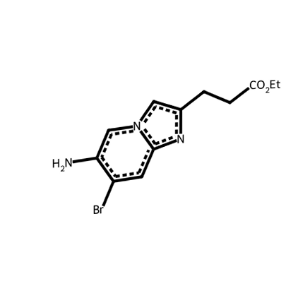 CCOC(=O)CCc1cn2cc(N)c(Br)cc2n1